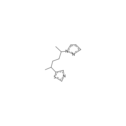 CC(CCC(C)n1cccn1)c1cncs1